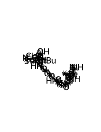 Cc1ncsc1-c1ccc([C@H](CC(=O)NCCOCCOCCOCCNC(=O)CN2CCN(C(=O)c3ccc(Nc4nc(C5CC5)cn5c(-c6cn[nH]c6)cnc45)c(F)c3)CC2)NC(=O)[C@@H]2C[C@@H](O)CN2C(=O)CC(C)(C)C)cc1